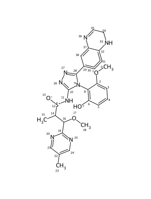 COc1cccc(O)c1-n1c(N[S+]([O-])C(C)C(OC)c2ncc(C)cn2)nnc1C1=C=C=C2NCC=NC2=C1